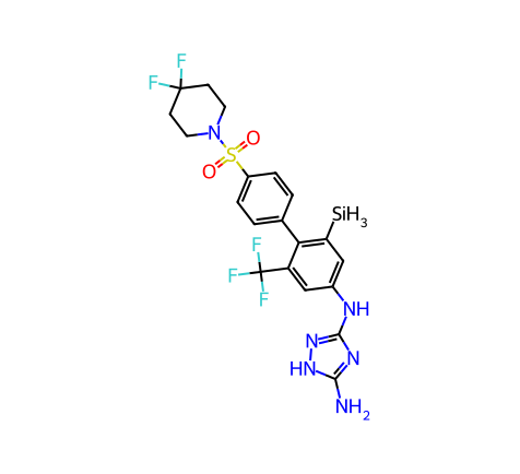 Nc1nc(Nc2cc([SiH3])c(-c3ccc(S(=O)(=O)N4CCC(F)(F)CC4)cc3)c(C(F)(F)F)c2)n[nH]1